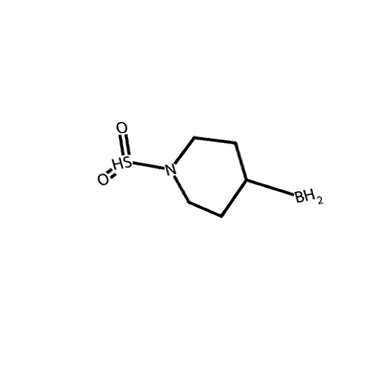 BC1CCN([SH](=O)=O)CC1